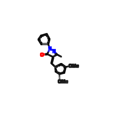 COc1cc(C=C2C(=O)N(c3ccccc3)N=C2C)cc(OC)c1